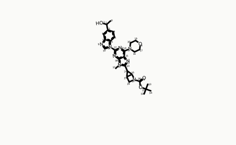 CC(O)c1ccc2c(c1)ncn2-c1nc(N2CCOCC2)c2nc(C3C4CN(C(=O)OC(C)(C)C)C43)n(C)c2n1